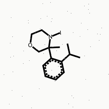 CC(C)c1ccccc1C1(C)COCCN1I